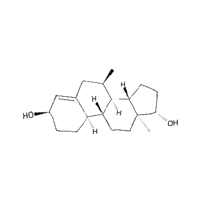 C[C@@H]1CC2=C[C@H](O)CC[C@@H]2[C@H]2CC[C@]3(C)[C@@H](O)CC[C@H]3[C@@H]21